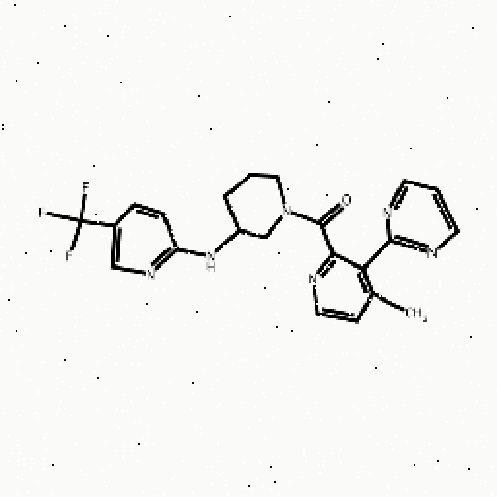 Cc1ccnc(C(=O)N2CCCC(Nc3ccc(C(F)(F)F)cn3)C2)c1-c1ncccn1